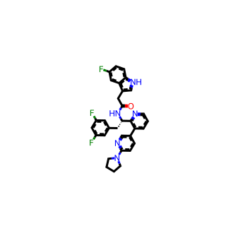 O=C(Cc1c[nH]c2ccc(F)cc12)N[C@@H](Cc1cc(F)cc(F)c1)c1ncccc1-c1ccc(N2CCCC2)nc1